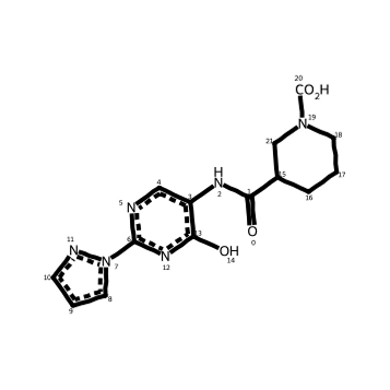 O=C(Nc1cnc(-n2cccn2)nc1O)C1CCCN(C(=O)O)C1